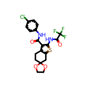 O=C(Nc1ccc(Cl)cc1)c1c(NC(=O)C(F)(F)F)sc2c1CCC1(C2)OCCO1